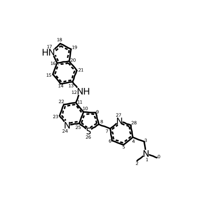 CN(C)Cc1ccc(-c2cc3c(Nc4ccc5[nH]ccc5c4)ccnc3s2)nc1